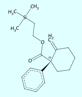 C=C1CCCC[C@@]1(C(=O)OCC[Si](C)(C)C)c1ccccc1